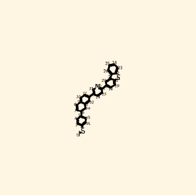 ISc1ccc(-c2ccc3ccc(-c4ccc(-c5ccc6sc7ccccc7c6c5)nc4)cc3c2)cc1